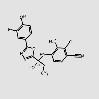 CC[C@](O)(Nc1ccc(C#N)c(Cl)c1C)c1nnc(-c2ccc(O)c(F)c2)o1